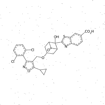 O=C(O)c1ccc2nc(C3(O)C4CC(OCc5c(-c6c(Cl)cccc6Cl)noc5C5CC5)CC3C4=O)sc2c1